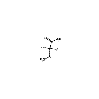 C=C(O)C(F)(F)CN